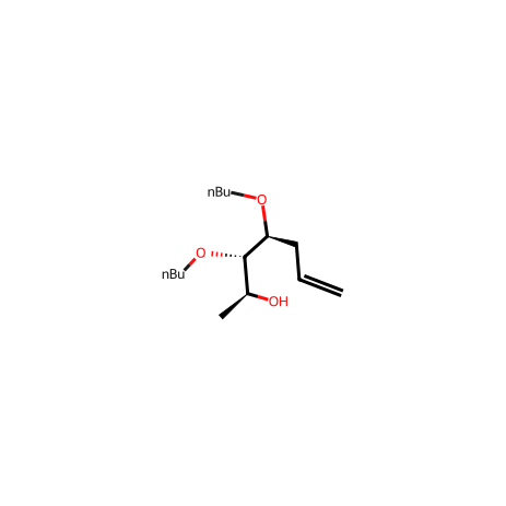 C=CC[C@H](OCCCC)[C@@H](OCCCC)[C@H](C)O